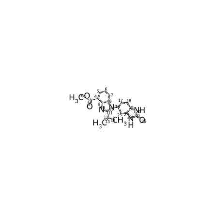 COC(=O)c1cccc2c1nc(C(C)C)n2-c1ccc2[nH]c(=O)[nH]c2c1